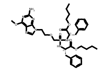 CCCCOC(=O)[C@H](Cc1ccccc1)NP(=O)(COCCn1cnc2c(OC)nc(N)nc21)N[C@@H](Cc1ccccc1)C(=O)OCCCC